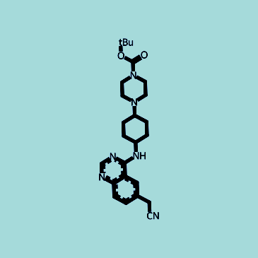 CC(C)(C)OC(=O)N1CCN(C2CCC(Nc3ncnc4ccc(CC#N)cc34)CC2)CC1